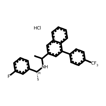 CC(N[C@H](C)c1cccc(F)c1)c1cc(-c2ccc(C(F)(F)F)cc2)c2ccccc2c1.Cl